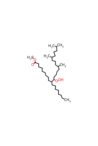 CCCCCCCCC(CCCCCCCCC(=O)OC)C(CCCCC(C)CCCC(C)CCCC(C)C)OO